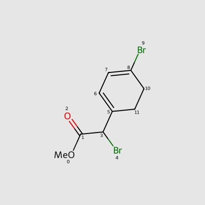 COC(=O)C(Br)C1=CC=C(Br)CC1